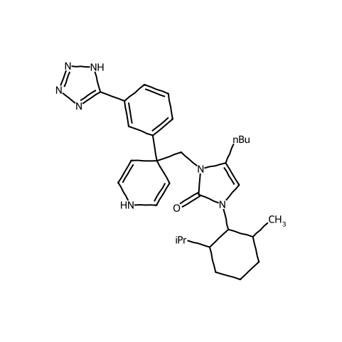 CCCCc1cn(C2C(C)CCCC2C(C)C)c(=O)n1CC1(c2cccc(-c3nnn[nH]3)c2)C=CNC=C1